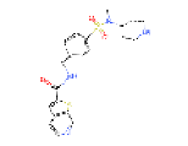 CN(C1CCNCC1)S(=O)(=O)c1ccc(CNC(=O)c2cc3ccncc3s2)cc1